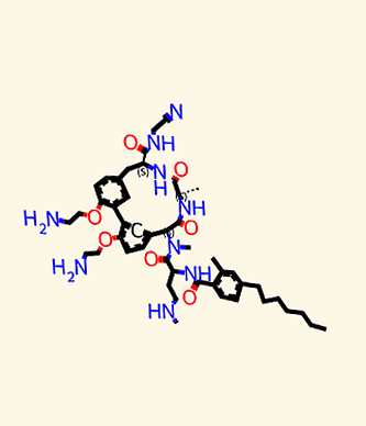 CCCCCCCc1ccc(C(=O)NC(CCNC)C(=O)N(C)[C@@H]2C(=O)N[C@@H](C)C(=O)N[C@H](C(=O)NCC#N)Cc3ccc(OCCN)c(c3)-c3cc2ccc3OCCN)c(C)c1